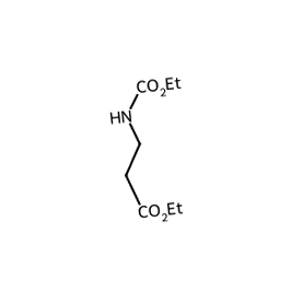 CCOC(=O)CCNC(=O)OCC